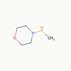 CPN1CCOCC1